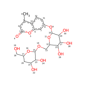 Cc1cc(=O)oc2cc(OC3OC(COC4OC(CO)CC(O)C4O)C(O)C(O)C3O)ccc12